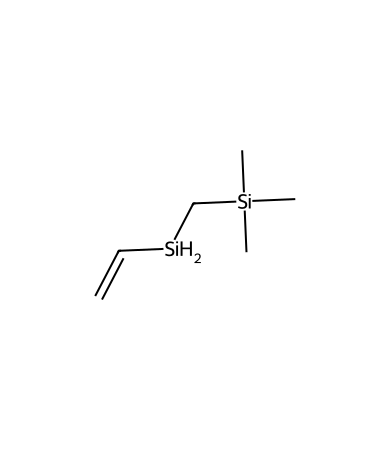 C=C[SiH2]C[Si](C)(C)C